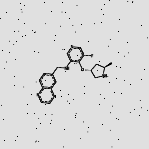 C[C@@H]1C[C@@H](Oc2c(F)cncc2NCc2ccc3nccnc3c2)CN1